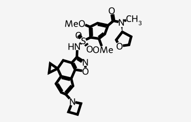 COc1cc(C(=O)N(C)[C@@H]2CCOC2)cc(OC)c1S(=O)(=O)Nc1noc2c1CC1(CC1)c1ccc(N3CCC3)cc1-2